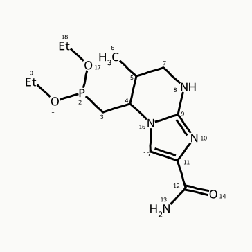 CCOP(CC1C(C)CNc2nc(C(N)=O)cn21)OCC